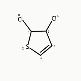 Cl[C]1SC=CC1Cl